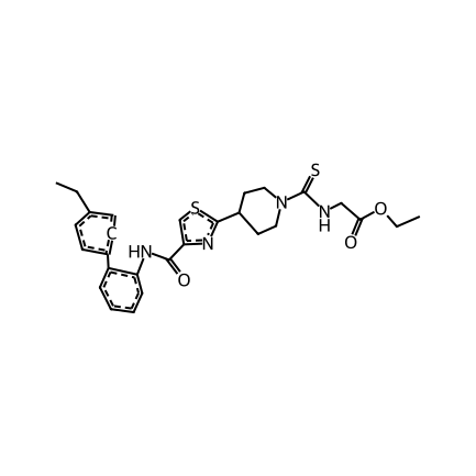 CCOC(=O)CNC(=S)N1CCC(c2nc(C(=O)Nc3ccccc3-c3ccc(CC)cc3)cs2)CC1